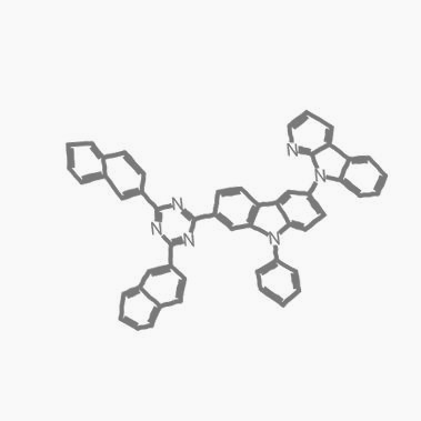 c1ccc(-n2c3ccc(-n4c5ccccc5c5cccnc54)cc3c3ccc(-c4nc(-c5ccc6ccccc6c5)nc(-c5ccc6ccccc6c5)n4)cc32)cc1